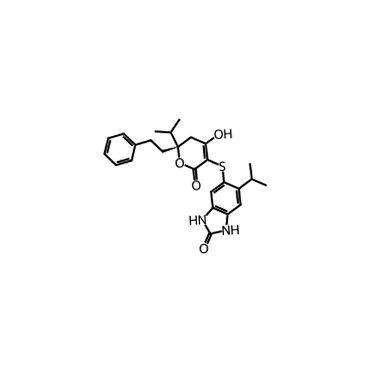 CC(C)c1cc2[nH]c(=O)[nH]c2cc1SC1=C(O)C[C@@](CCc2ccccc2)(C(C)C)OC1=O